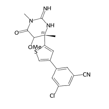 COC1C(=O)N(C)C(=N)N[C@]1(C)c1cc(-c2cc(Cl)cc(C#N)c2)cs1